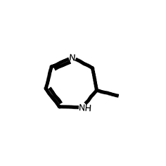 CC1CN=CC=CN1